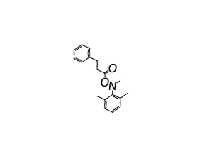 Cc1cccc(C)c1N(C)OC(=O)CCc1ccccc1